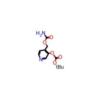 CC(C)(C)OC(=O)Oc1cnccc1COC(N)=O